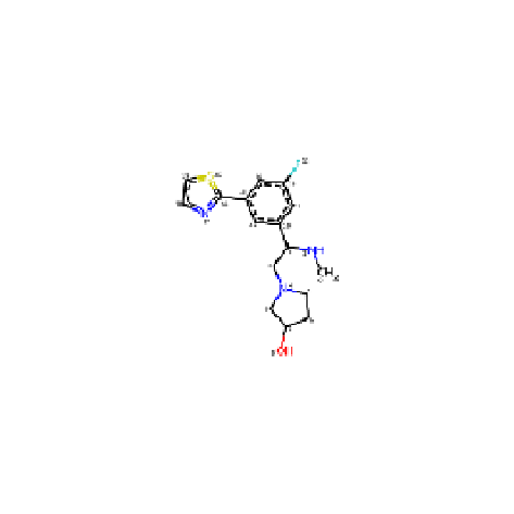 CNC(CN1CCC(O)C1)c1cc(F)cc(-c2nccs2)c1